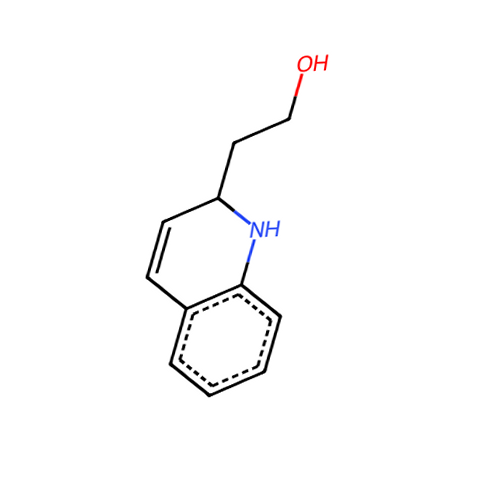 OCCC1C=Cc2ccccc2N1